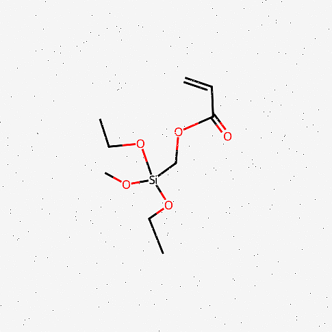 C=CC(=O)OC[Si](OC)(OCC)OCC